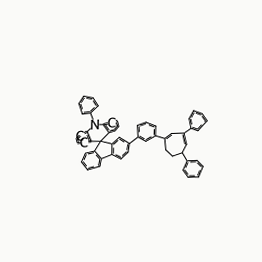 C1=C(c2ccccc2)C=C(c2cccc(-c3ccc4c(c3)C3(c5ccccc5-4)c4ccccc4N(c4ccccc4)c4ccccc43)c2)CCC1c1ccccc1